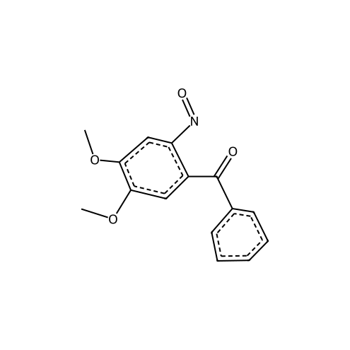 COc1cc(N=O)c(C(=O)c2ccccc2)cc1OC